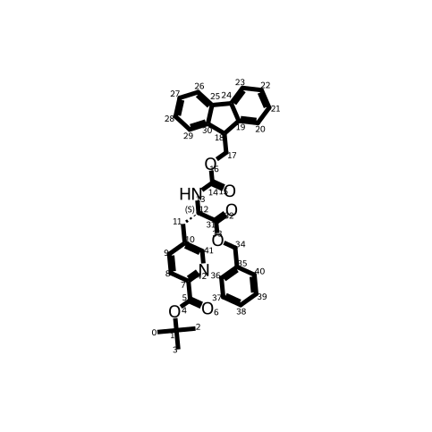 CC(C)(C)OC(=O)c1ccc(C[C@H](NC(=O)OCC2c3ccccc3-c3ccccc32)C(=O)OCc2ccccc2)cn1